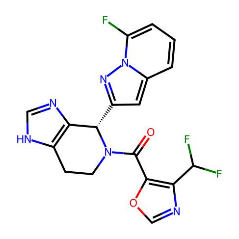 O=C(c1ocnc1C(F)F)N1CCc2[nH]cnc2[C@@H]1c1cc2cccc(F)n2n1